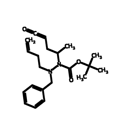 C=CCCN(Cc1ccccc1)N(C(=O)OC(C)(C)C)C(C)CC=C=O